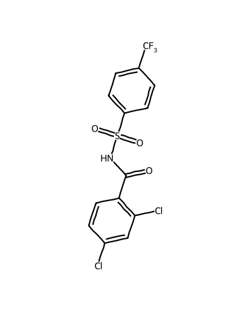 O=C(NS(=O)(=O)c1ccc(C(F)(F)F)cc1)c1ccc(Cl)cc1Cl